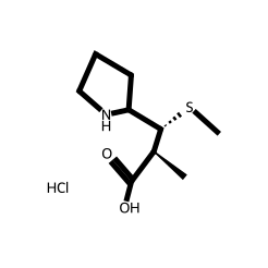 CS[C@@H](C1CCCN1)[C@@H](C)C(=O)O.Cl